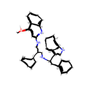 COc1cc(NCC(CNC(Cc2ccccc2)c2c[nH]c3ccccc23)c2ccccc2)nc2ccccc12